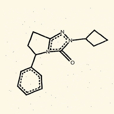 O=c1n(C2CCC2)nc2n1C(c1ccccc1)CC2